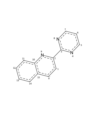 [c]1cc(-c2ncccn2)nc2ccccc12